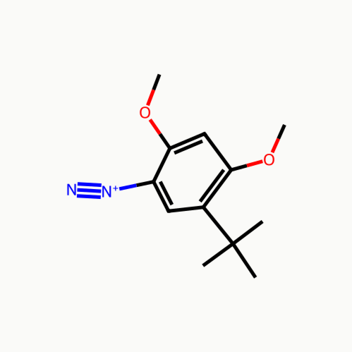 COc1cc(OC)c(C(C)(C)C)cc1[N+]#N